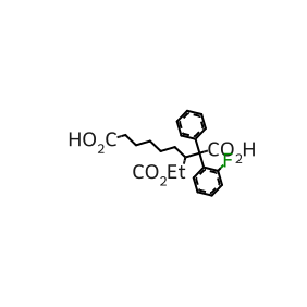 CCOC(=O)C(CCCCCC(=O)O)C(C(=O)O)(c1ccccc1)c1ccccc1F